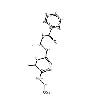 CC(SC(=O)O[C@H](C)OC(=O)c1ccccc1)C(=O)NCC(=O)O